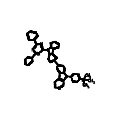 C[Si](C)(C)c1ccc(-n2c3ccc(-c4ccc5c(c4)c4ccccc4n5-c4nc(-c5ccccc5)nc(-c5ccccc5)n4)cc3c3ccncc32)cc1